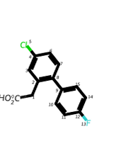 O=C(O)Cc1cc(Cl)ccc1-c1ccc(F)cc1